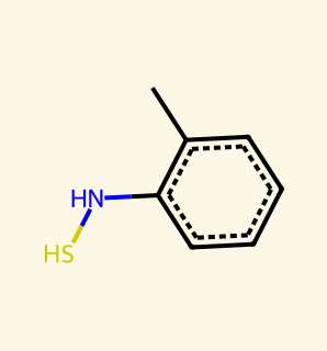 Cc1ccccc1NS